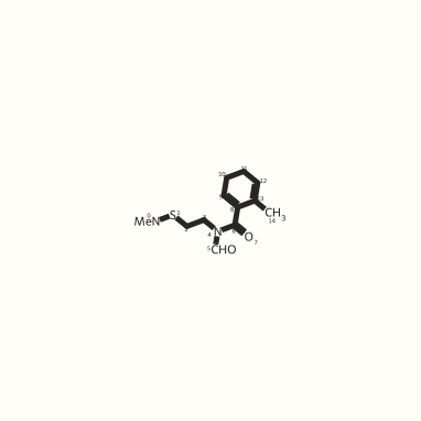 CNSCCN(C=O)C(=O)C1=CCCC=C1C